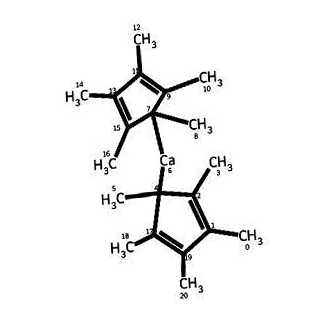 CC1=C(C)[C](C)([Ca][C]2(C)C(C)=C(C)C(C)=C2C)C(C)=C1C